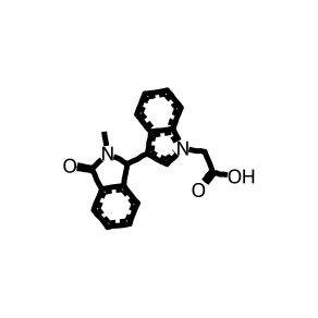 CN1C(=O)c2ccccc2C1c1cn(CC(=O)O)c2ccccc12